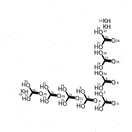 O=C(O)O.O=C(O)O.O=C(O)O.O=C(O)O.O=C(O)O.O=C(O)O.O=C(O)O.O=C(O)O.[KH].[KH].[KH]